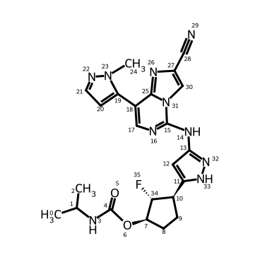 CC(C)NC(=O)O[C@@H]1CC[C@H](c2cc(Nc3ncc(-c4ccnn4C)c4nc(C#N)cn34)n[nH]2)[C@H]1F